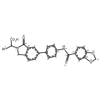 CC(C)C(C(=O)O)N1Cc2ccc(-c3ccc(NC(=O)c4ccc5c(c4)OCO5)cc3)cc2C1=O